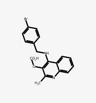 Cc1nc2ccccc2c(NCc2ccc(Br)cc2)c1OC(=O)O